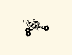 C[C@H]1[C@@H]2N(C(=O)NCc3ccccc3)OCC(=O)N2[C@@H](CC(N)=O)C(=O)N1Cc1cccc2ccccc12